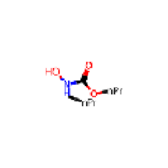 CCCC.CCCOC(=O)NO